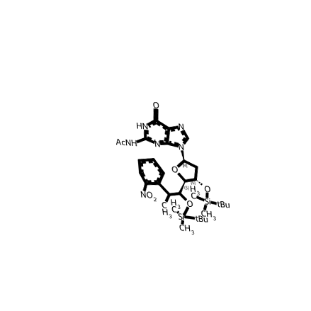 CC(=O)Nc1nc2c(ncn2[C@H]2C[C@H](O[Si](C)(C)C(C)(C)C)[C@@H](C(O[Si](C)(C)C(C)(C)C)C(C)c3ccccc3[N+](=O)[O-])O2)c(=O)[nH]1